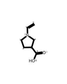 C=CN1CCC(C(=O)O)C1